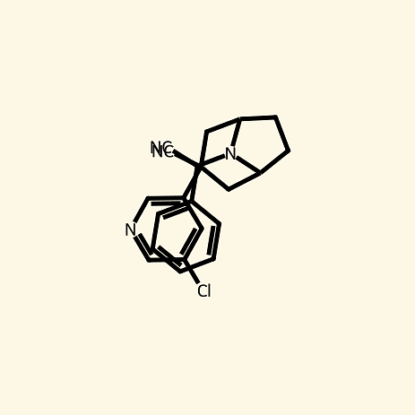 N#CC(c1ccccc1)N1C2CCC1CC(C#N)(c1cncc(Cl)c1)C2